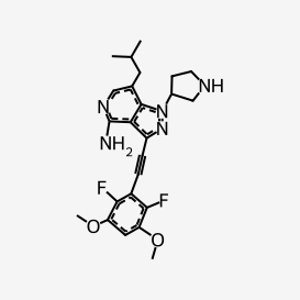 COc1cc(OC)c(F)c(C#Cc2nn(C3CCNC3)c3c(CC(C)C)cnc(N)c23)c1F